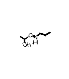 CCCNOC(C)O